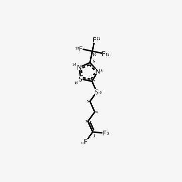 FC(F)=CCCSc1nc(C(F)(F)F)ns1